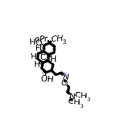 CCC[C@@]1(C)CC[C@H]2[C@@H](CC[C@@H]3C[C@@H](O)C(C/C=N\OCCN(C)C)C[C@@]32C)[C@@H]1O